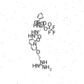 N=C(N)NCCCOc1ccc2ccc(NC(=O)NC[C@H](NS(=O)(=O)c3ccccc3)C(=O)OC(=O)C(F)(F)F)c(=O)n2c1